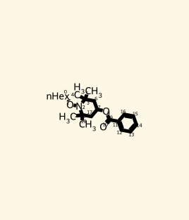 CCCCCCON1C(C)(C)CC(OC(=O)c2ccccc2)CC1(C)C